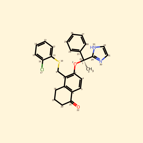 C[C@](Oc1ccc2c(c1CSc1ccccc1Cl)CCCC2=O)(c1ccccc1)c1ncc[nH]1